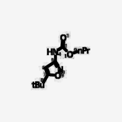 CCCOC(=O)Nc1cc(C(C)(C)C)on1